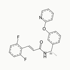 C[C@H](NC(=O)C=Cc1c(F)cccc1F)c1cccc(Oc2ccccn2)c1